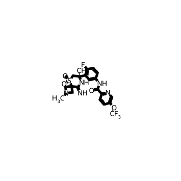 CN1CC2(C1)C(=N)N[C@](C)(c1cc(NC(=O)c3ccc(OC(F)(F)F)cn3)ccc1F)CS2(=O)=O